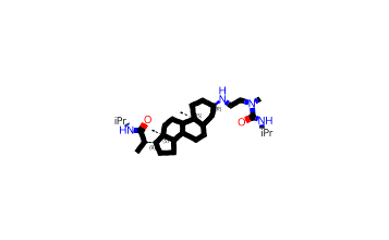 CC(C)NC(=O)C(C)[C@H]1CCC2C3CCC4C[C@H](NCCN(C)C(=O)NC(C)C)CC[C@]4(C)C3CC[C@@]21C